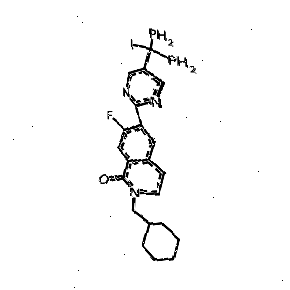 O=c1c2cc(F)c(-c3ncc(C(P)(P)I)cn3)cc2ccn1CC1CCCCC1